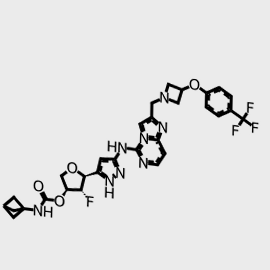 O=C(NC12CC(C1)C2)O[C@H]1CO[C@@H](c2cc(Nc3nccc4nc(CN5CC(Oc6ccc(C(F)(F)F)cc6)C5)cn34)n[nH]2)[C@@H]1F